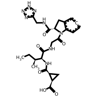 CC[C@H](C)[C@H](NC(=O)[C@H]1C[C@H]1C(=O)O)C(=O)NCC(=O)N1c2ccccc2C[C@H]1C(=O)NCc1nn[nH]n1